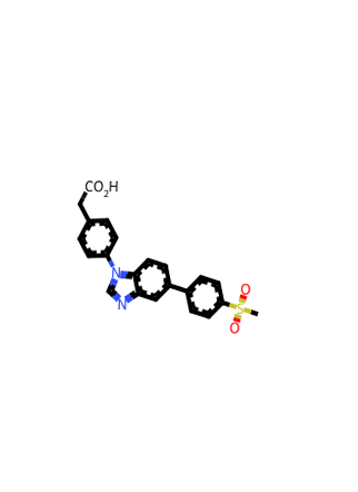 CS(=O)(=O)c1ccc(-c2ccc3c(c2)ncn3-c2ccc(CC(=O)O)cc2)cc1